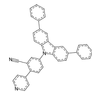 N#Cc1cc(-n2c3ccc(-c4ccccc4)cc3c3cc(-c4ccccc4)ccc32)ccc1-c1ccncc1